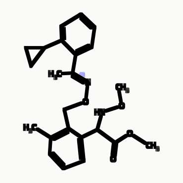 CONC(C(=O)OC)c1cccc(C)c1CO/N=C(\C)c1ccccc1C1CC1